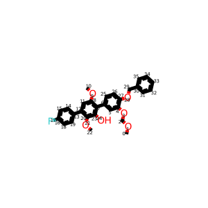 COCOc1cc(-c2c(OC)cc(-c3ccc(F)cc3)c(OC)c2O)ccc1OCc1ccccc1